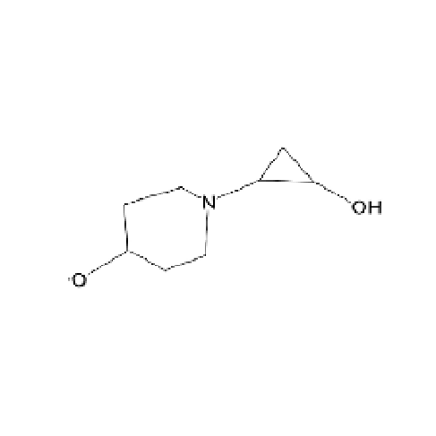 [O]C1CCN(C2CC2O)CC1